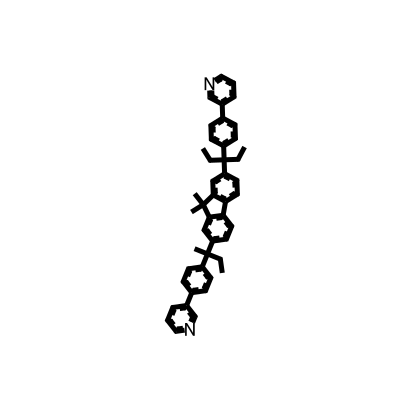 CCC(C)(c1ccc(-c2cccnc2)cc1)c1ccc2c(c1)C(C)(C)c1cc(C(CC)(CC)c3ccc(-c4cccnc4)cc3)ccc1-2